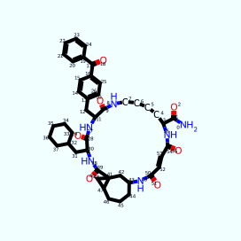 NC(=O)C1CCCCNC(=O)C(Cc2ccc(C(=O)c3ccccc3)cc2)NC(=O)C(CC2CCCCC2)NC(=O)C23CC(CCCC2C3)NC(=O)/C=C/C(=O)N1